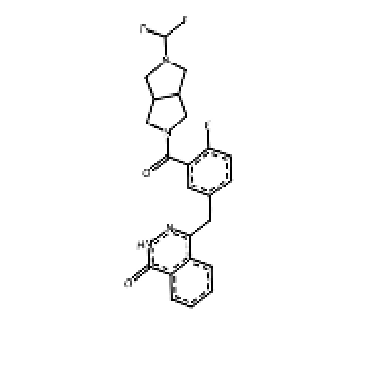 O=C(c1cc(Cc2n[nH]c(=O)c3ccccc23)ccc1F)N1CC2CN(C(F)F)CC2C1